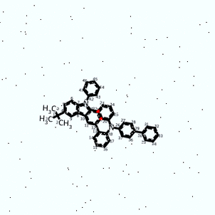 CC(C)(C)c1ccc2c(c1)c1cc(-c3ccccc3N(c3ccccc3)c3ccc(-c4ccccc4)cc3)ccc1n2-c1ccccc1